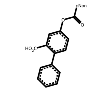 CCCCCCCCCC(=O)Oc1ccc(-c2ccccc2)c(C(=O)O)c1